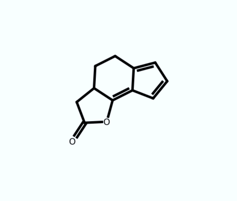 O=C1CC2CCC3=CC=CC3=C2O1